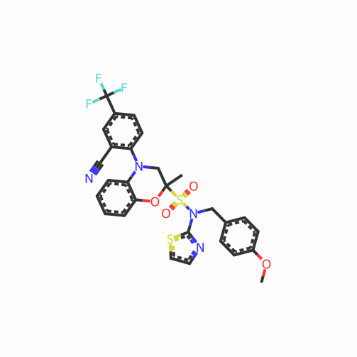 COc1ccc(CN(c2nccs2)S(=O)(=O)C2(C)CN(c3ccc(C(F)(F)F)cc3C#N)c3ccccc3O2)cc1